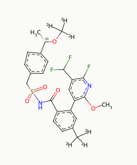 [2H]C([2H])([2H])O[C@@H](C)c1ccc(CS(=O)(=O)NC(=O)c2ccc(C([2H])([2H])[2H])cc2-c2cc(C(F)F)c(F)nc2OC)cc1